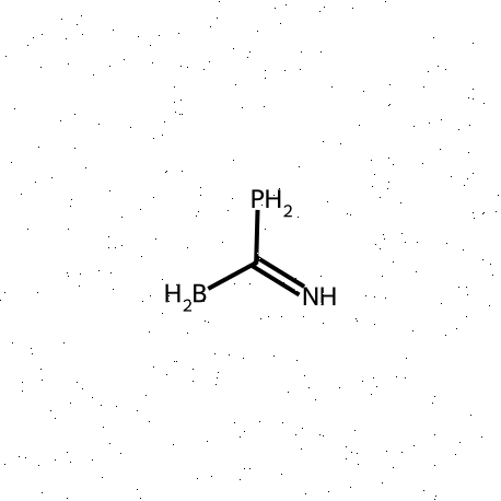 BC(=N)P